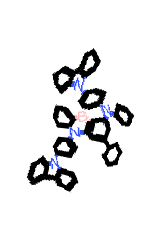 c1ccc(N2c3ccc(-n4c5ccccc5c5ccccc54)cc3B3c4ccccc4N(c4ccc(-n5c6ccccc6c6ccccc65)cc4)c4cc(C5CCCCC5)cc2c43)cc1